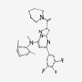 C=C(c1cc2nc(-c3cc(F)c(F)c(F)c3)cc(N(C)c3c(C)cccc3C)n2n1)N1CCCCC1